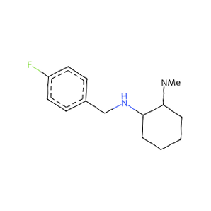 CNC1CCCCC1NCc1ccc(F)cc1